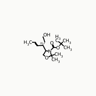 CC=C[C@H](CCO)C1COC(C)(C)N1C(=O)OC(C)(C)C